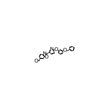 O=Cc1ccc2nc(-c3ccc(Oc4cccc(OCc5ccccc5)c4)nc3)oc2c1